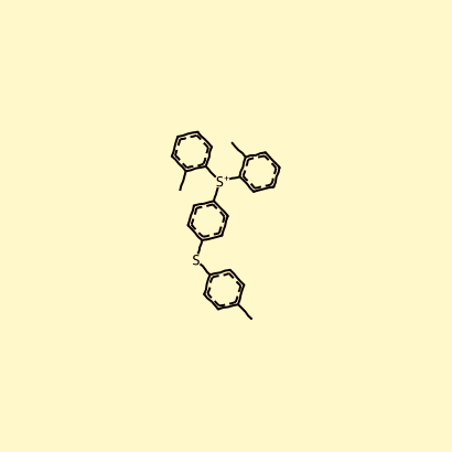 Cc1ccc(Sc2ccc([S+](c3ccccc3C)c3ccccc3C)cc2)cc1